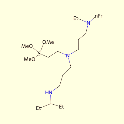 CCCN(CC)CCCN(CCCNC(CC)CC)CC[Si](OC)(OC)OC